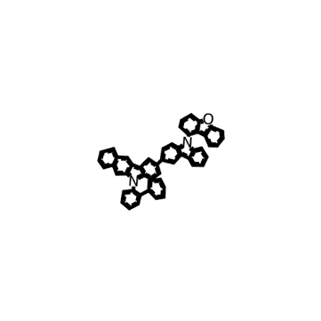 c1ccc(-c2ccccc2-n2c3ccc(-c4ccc5c(c4)c4ccccc4n5-c4cccc5oc6ccccc6c45)cc3c3cc4ccccc4cc32)cc1